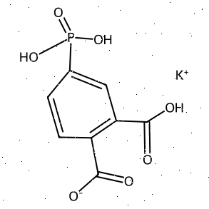 O=C([O-])c1ccc(P(=O)(O)O)cc1C(=O)O.[K+]